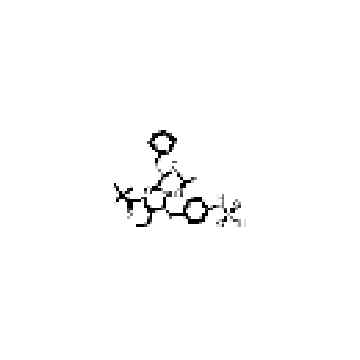 CC/C(=N\C(=S)C(C)(C)C)[C@H](Cc1ccc(NS(=O)(=O)O)cc1)NC(=O)[C@H](Cc1ccccc1)NC(C)=O